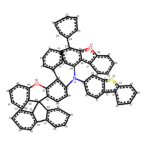 c1ccc(-c2c(N(c3ccc4c(c3)sc3ccccc34)c3ccc(-c4ccccc4)c4oc5ccccc5c34)ccc3c2Oc2ccccc2C32c3ccccc3-c3ccccc32)cc1